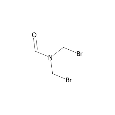 O=CN(CBr)CBr